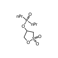 CCCP(=O)(CCC)OC1COS(=O)(=O)C1